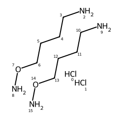 Cl.Cl.NCCCCON.NCCCCON